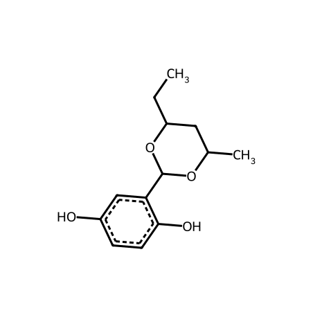 CCC1CC(C)OC(c2cc(O)ccc2O)O1